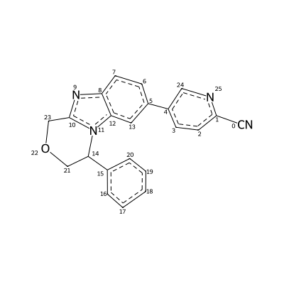 N#Cc1ccc(-c2ccc3nc4n(c3c2)C(c2ccccc2)COC4)cn1